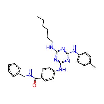 CCCCCCNc1nc(Nc2ccc(C)cc2)nc(Nc2ccc(C(=O)NCc3ccccc3)cc2)n1